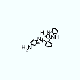 Nc1ccc2nn(Cc3ccccc3C(=O)Nc3ccccc3N)cc2c1